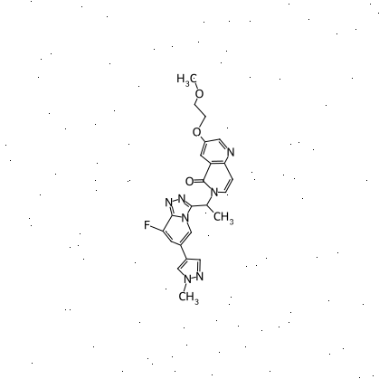 COCCOc1cnc2ccn(C(C)c3nnc4c(F)cc(-c5cnn(C)c5)cn34)c(=O)c2c1